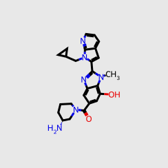 Cn1c(-c2cc3cccnc3n2CC2CC2)nc2cc(C(=O)N3CCC[C@@H](N)C3)cc(O)c21